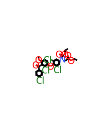 CCOC(=O)CN(C(=O)OCC)c1cc(Cl)c(Oc2ccc(OC)c(C(=O)c3ccc(Cl)cc3Cl)c2)c(Cl)c1